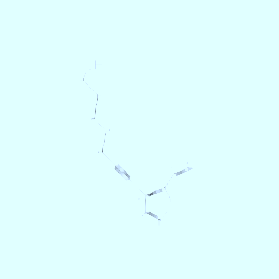 CCCCCCC#Cc1ccoc1C=O